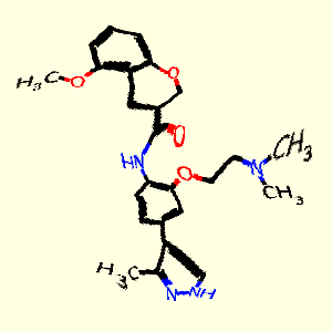 COc1cccc2c1CC(C(=O)Nc1ccc(-c3c[nH]nc3C)cc1OCCN(C)C)CO2